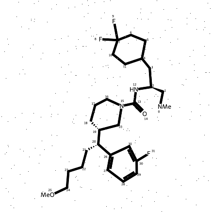 CNC[C@H](CC1CCC(F)(F)CC1)NC(=O)N1CCC[C@@H]([C@@H](CCCCOC)c2cccc(F)c2)C1